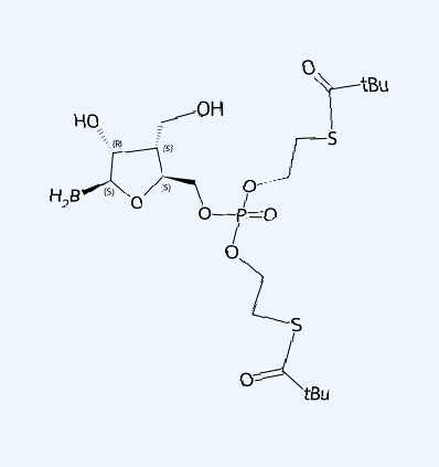 B[C@@H]1O[C@H](COP(=O)(OCCSC(=O)C(C)(C)C)OCCSC(=O)C(C)(C)C)[C@@H](CO)[C@H]1O